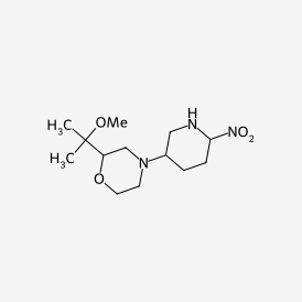 COC(C)(C)C1CN(C2CCC([N+](=O)[O-])NC2)CCO1